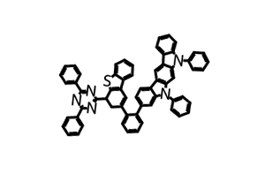 C1=C(c2ccccc2-c2ccc3c4cc5c6ccccc6n(-c6ccccc6)c5cc4n(-c4ccccc4)c3c2)CC(c2nc(-c3ccccc3)nc(-c3ccccc3)n2)c2sc3ccccc3c21